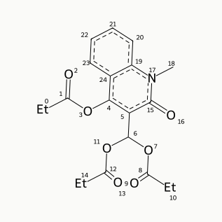 CCC(=O)Oc1c(C(OC(=O)CC)OC(=O)CC)c(=O)n(C)c2ccccc12